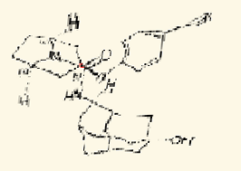 N#Cc1ccc(O[C@H]2C[C@H]3CC[C@@H](C2)N3C(=O)N[C@H]2C3CC4CC2C[C@](O)(C4)C3)cc1